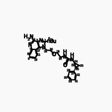 CCCCc1nc2c(N)nc3ccccc3c2n1CCOCCNC(=O)N[C@H]1C[C@@H]1c1ccccc1